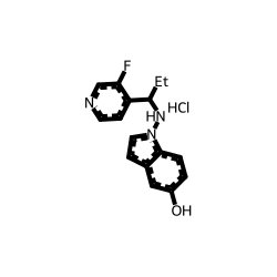 CCC(Nn1ccc2cc(O)ccc21)c1ccncc1F.Cl